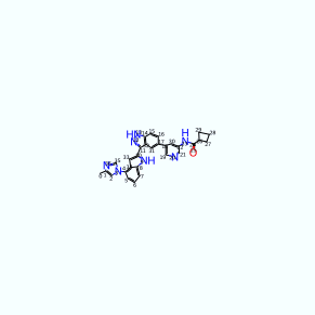 Cc1cn(-c2cccc3[nH]c(-c4n[nH]c5ccc(-c6cncc(NC(=O)C7CCC7)c6)cc45)cc23)cn1